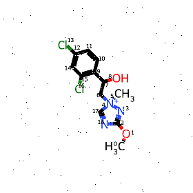 COC1=N[N+](C)(CC(O)c2ccc(Cl)cc2Cl)C=N1